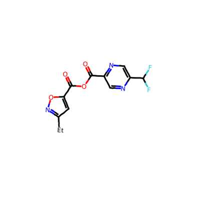 CCc1cc(C(=O)OC(=O)c2cnc(C(F)F)cn2)on1